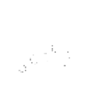 CCOc1ccc(NC(=O)OC(C)C)cc1C(=O)NC(C)c1cccc(-c2nccs2)c1